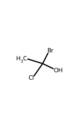 CC(O)(Cl)Br